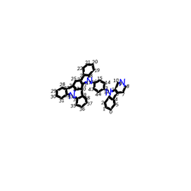 c1ccc2c(c1)c1ccncc1n2-c1ccc(-n2c3ccccc3c3cc4c5ccccc5n5c6ccccc6c(c32)c45)cc1